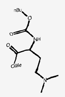 CCCCOC(=O)NC(CCN(C)C)C(=O)OC